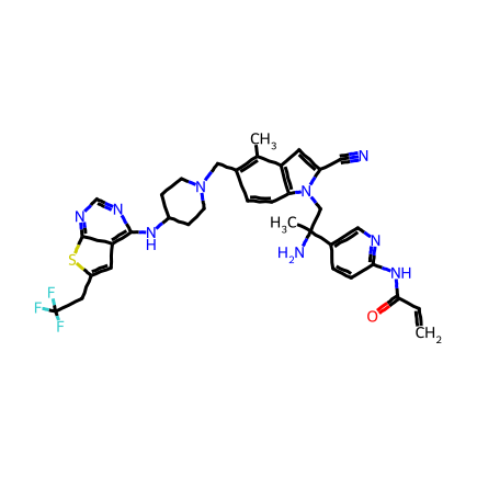 C=CC(=O)Nc1ccc(C(C)(N)Cn2c(C#N)cc3c(C)c(CN4CCC(Nc5ncnc6sc(CC(F)(F)F)cc56)CC4)ccc32)cn1